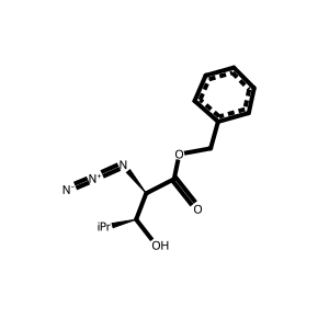 CC(C)[C@H](O)[C@@H](N=[N+]=[N-])C(=O)OCc1ccccc1